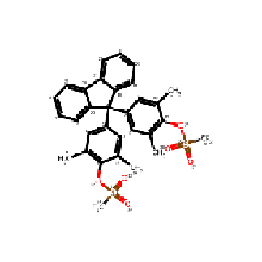 Cc1cc(C2(c3cc(C)c(OS(=O)(=O)C(F)(F)F)c(C)c3)c3ccccc3-c3ccccc32)cc(C)c1OS(=O)(=O)C(F)(F)F